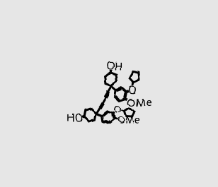 COc1ccc(C2(C#CC#CC3(c4ccc(OC)c(OC5CCCC5)c4)CCC(O)CC3)CCC(O)CC2)cc1OC1CCCC1